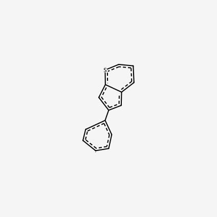 [c]1ccc(-c2cc3cccsc-3c2)cc1